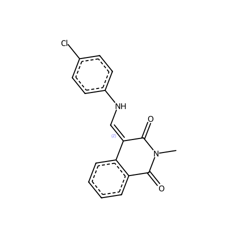 CN1C(=O)/C(=C\Nc2ccc(Cl)cc2)c2ccccc2C1=O